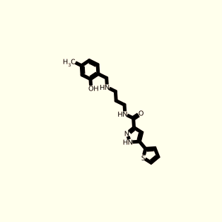 Cc1ccc(CNCCCNC(=O)c2cc(-c3cccs3)[nH]n2)c(O)c1